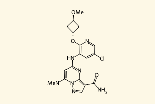 CNc1cc(Nc2cc(Cl)cnc2O[C@H]2C[C@H](OC)C2)nc2c(C(N)=O)cnn12